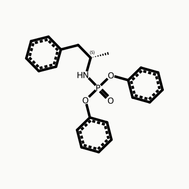 C[C@@H](Cc1ccccc1)NP(=O)(Oc1ccccc1)Oc1ccccc1